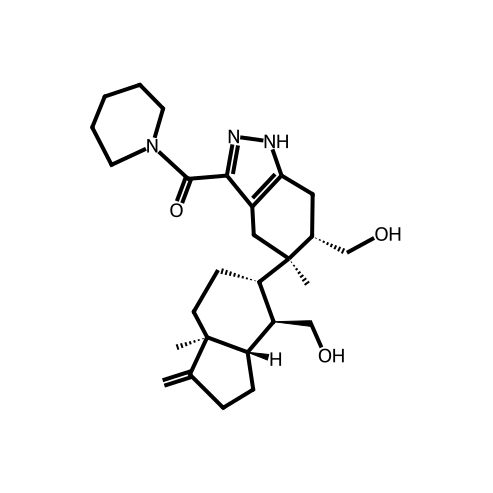 C=C1CC[C@H]2[C@H](CO)[C@@H]([C@@]3(C)Cc4c(C(=O)N5CCCCC5)n[nH]c4C[C@@H]3CO)CC[C@]12C